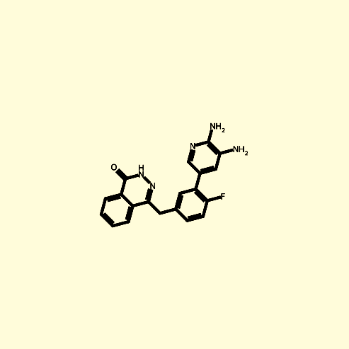 Nc1cc(-c2cc(Cc3n[nH]c(=O)c4ccccc34)ccc2F)cnc1N